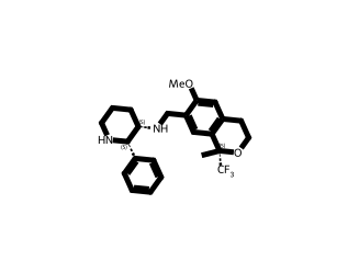 COc1cc2c(cc1CN[C@H]1CCCN[C@H]1c1ccccc1)[C@@](C)(C(F)(F)F)OCC2